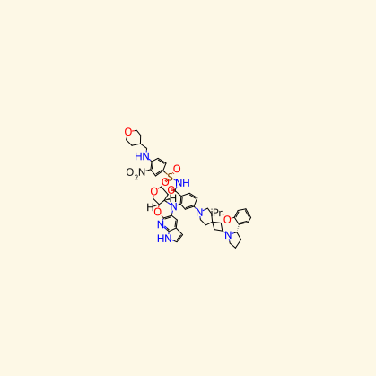 CC(C)Oc1ccccc1[C@@H]1CCCN1C1CC2(CCN(c3ccc(C(=O)NS(=O)(=O)c4ccc(NCC5CCOCC5)c([N+](=O)[O-])c4)c(N4c5cc6cc[nH]c6nc5O[C@@H]5COCC[C@@H]54)c3)CC2)C1